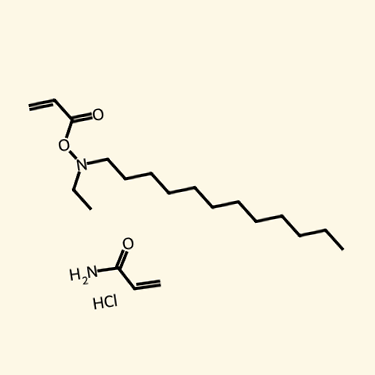 C=CC(=O)ON(CC)CCCCCCCCCCCC.C=CC(N)=O.Cl